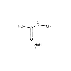 O=C(O)OCl.[NaH]